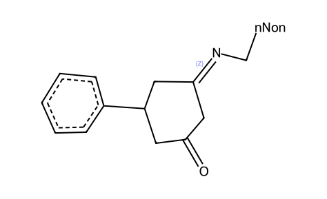 CCCCCCCCCC/N=C1\CC(=O)CC(c2ccccc2)C1